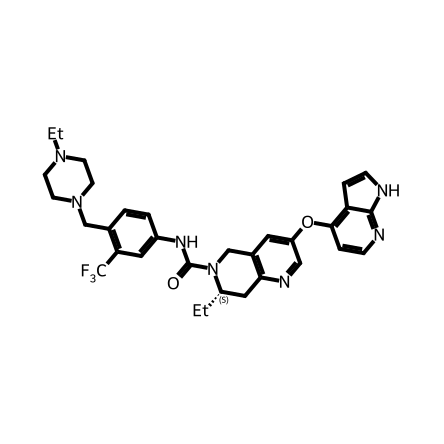 CC[C@H]1Cc2ncc(Oc3ccnc4[nH]ccc34)cc2CN1C(=O)Nc1ccc(CN2CCN(CC)CC2)c(C(F)(F)F)c1